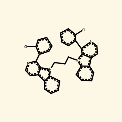 Clc1ccccc1-c1nccc2c3ccccc3n(CCCn3c4ccccc4c4ccnc(-c5ccccc5Cl)c43)c12